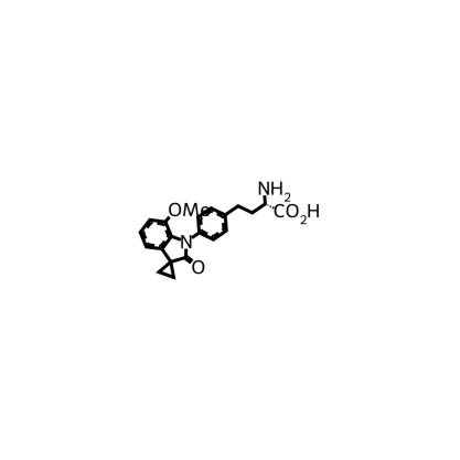 COc1cccc2c1N(c1ccc(CC[C@H](N)C(=O)O)cc1)C(=O)C21CC1